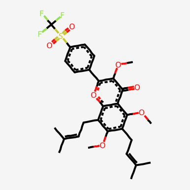 COc1c(CC=C(C)C)c(OC)c2c(=O)c(OC)c(-c3ccc(S(=O)(=O)C(F)(F)F)cc3)oc2c1CC=C(C)C